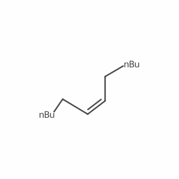 CCCCC/C=C\CCCCC